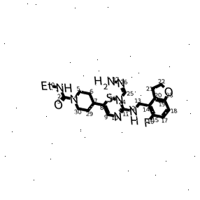 CCNC(=O)N1CCC(C2=CN=C(NCc3c(F)ccc4c3CCO4)N(/C=N\N)S2)CC1